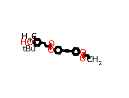 C=CC(=O)Oc1ccc(C#CC2CCC(OC(=O)CCc3cc(C)c(O)c(C(C)(C)C)c3)CC2)cc1